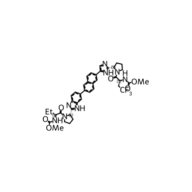 CC[C@H](NC(=O)OC)C(=O)N1CCC[C@H]1c1nc2ccc(-c3ccc4cc(-c5cnc([C@@H]6CCCN6C(=O)[C@H](CC(F)(F)F)NC(=O)OC)[nH]5)ccc4c3)cc2[nH]1